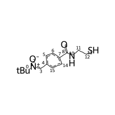 CC(C)(C)[N+]([O-])=Cc1ccc(C(=O)NCCS)cc1